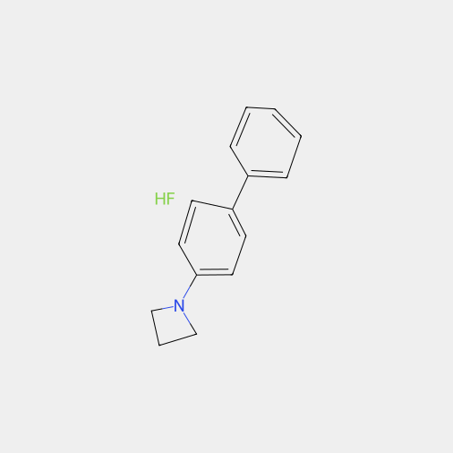 F.c1ccc(-c2ccc(N3CCC3)cc2)cc1